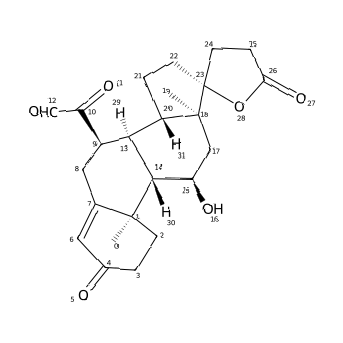 C[C@]12CCC(=O)C=C1C[C@@H](C(=O)C=O)[C@@H]1[C@@H]2[C@H](O)C[C@@]2(C)[C@H]1CC[C@@]21CCC(=O)O1